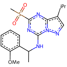 COc1ccccc1C(C)Nc1nc(S(C)(=O)=O)nc2c(C(C)C)cnn12